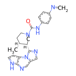 C=Nc1ccc(NC(=O)N2CC[C@@H](C)[C@@H](c3ncc4cnc5[nH]ccc5n34)C2)cc1